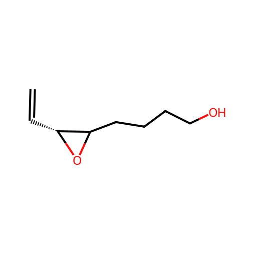 C=C[C@H]1OC1CCCCO